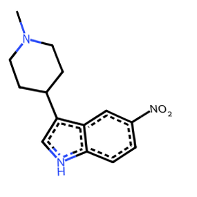 CN1CCC(c2c[nH]c3ccc([N+](=O)[O-])cc23)CC1